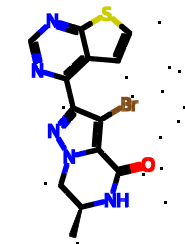 C[C@H]1Cn2nc(-c3ncnc4sccc34)c(Br)c2C(=O)N1